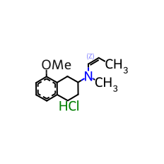 C/C=C\N(C)C1CCc2cccc(OC)c2C1.Cl